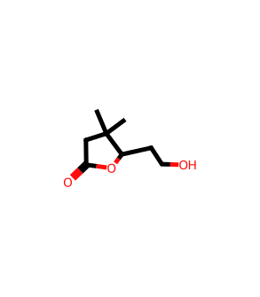 CC1(C)CC(=O)OC1CCO